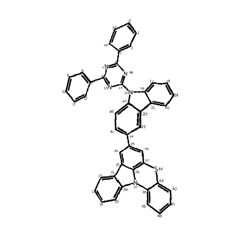 c1ccc(-c2nc(-c3ccccc3)nc(-n3c4ccccc4c4cc(-c5cc6c7c(c5)c5ccccc5n7-c5ccccc5S6)ccc43)n2)cc1